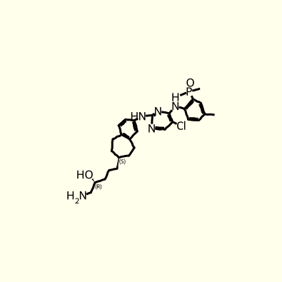 Cc1ccc(Nc2nc(Nc3ccc4c(c3)CC[C@@H](CCC[C@@H](O)CN)CC4)ncc2Cl)c(P(C)(C)=O)c1